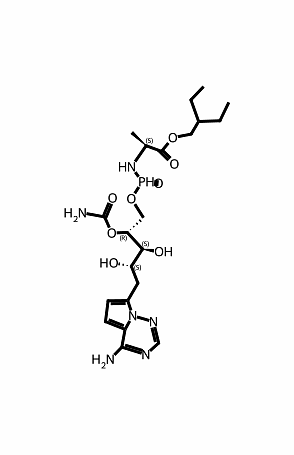 CCC(CC)COC(=O)[C@H](C)N[PH](=O)OC[C@@H](OC(N)=O)[C@@H](O)[C@@H](O)Cc1ccc2c(N)ncnn12